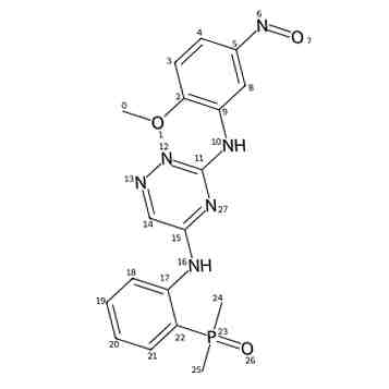 COc1ccc(N=O)cc1Nc1nncc(Nc2ccccc2P(C)(C)=O)n1